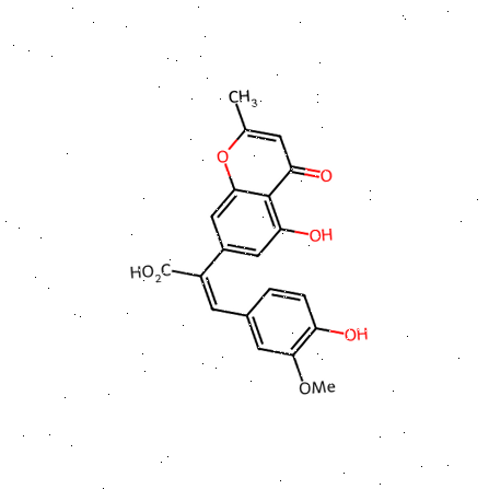 COc1cc(/C=C(/C(=O)O)c2cc(O)c3c(=O)cc(C)oc3c2)ccc1O